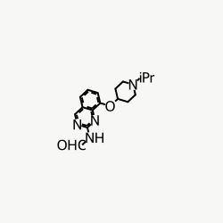 CC(C)N1CCC(Oc2cccc3cnc(NC=O)nc23)CC1